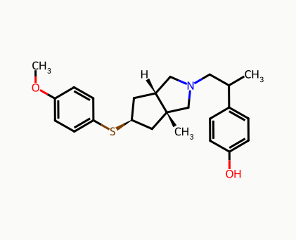 COc1ccc(S[C@H]2C[C@@H]3CN(CC(C)c4ccc(O)cc4)C[C@]3(C)C2)cc1